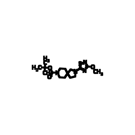 COc1nsc(N2CCC3(CCN(C(=O)OC(C)(C)C)CC3)C2)n1